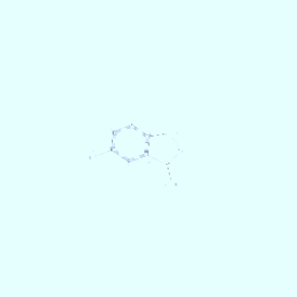 OC1NOc2ccc(Br)cc21